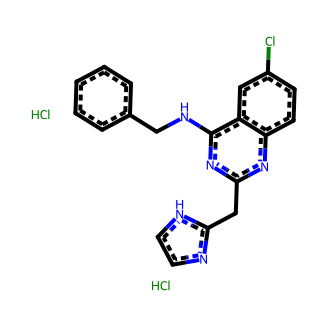 Cl.Cl.Clc1ccc2nc(Cc3ncc[nH]3)nc(NCc3ccccc3)c2c1